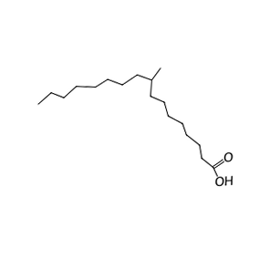 CCCCCCCCC(C)CCCCCCCC(=O)O